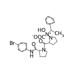 CC(c1ccccc1)[N+](O)(C(=O)[O-])N1CCCC1C(=O)N1CCCC1C(=O)Nc1ccc(Br)cc1